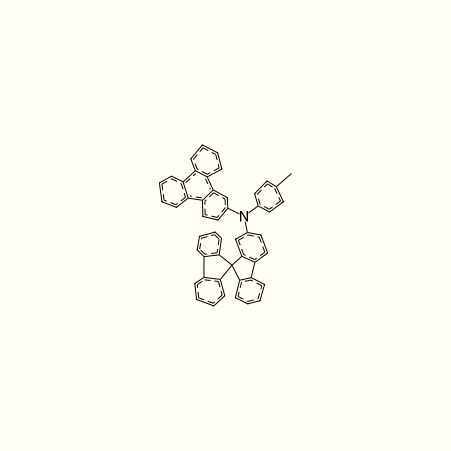 Cc1ccc(N(c2ccc3c(c2)C2(c4ccccc4-c4ccccc42)c2ccccc2-3)c2ccc3c4ccccc4c4ccccc4c3c2)cc1